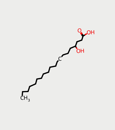 CCCCCCCCCCCCCCCCC(O)CCC(=O)O